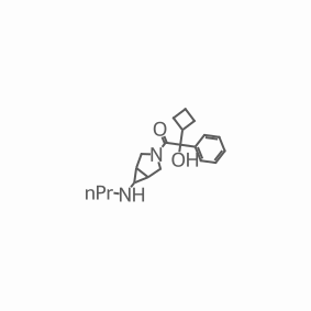 CCCNC1C2CN(C(=O)C(O)(c3ccccc3)C3CCC3)CC21